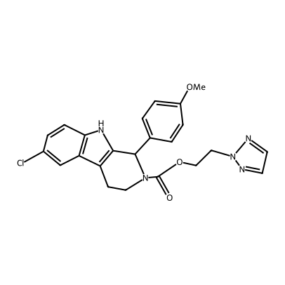 COc1ccc(C2c3[nH]c4ccc(Cl)cc4c3CCN2C(=O)OCCn2nccn2)cc1